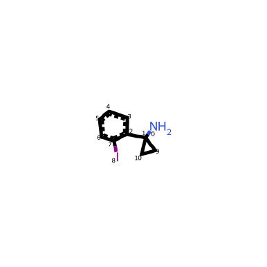 NC1(c2ccccc2I)CC1